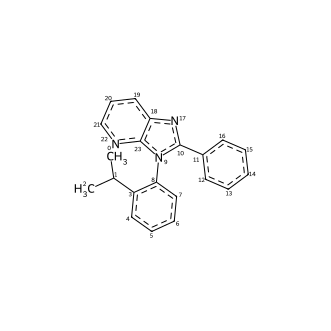 CC(C)c1ccccc1-n1c(-c2ccccc2)nc2cccnc21